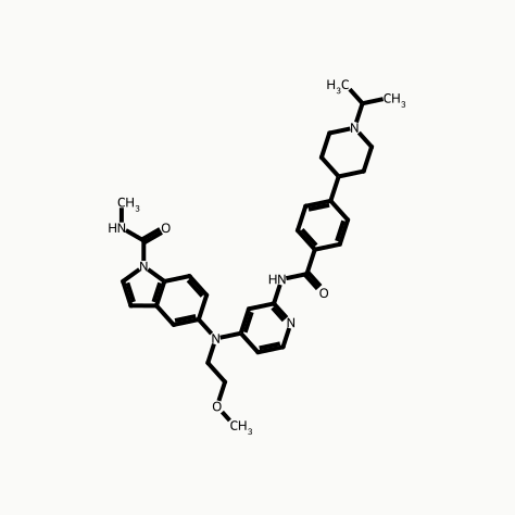 CNC(=O)n1ccc2cc(N(CCOC)c3ccnc(NC(=O)c4ccc(C5CCN(C(C)C)CC5)cc4)c3)ccc21